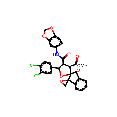 COC(=O)C1C(C(=O)Nc2ccc3c(c2)OCO3)C(c2ccc(Cl)c(Cl)c2)OC12C(=O)c1ccccc1C21CO1